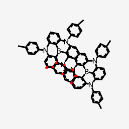 Cc1ccc(N2c3cccc4c3B3c5c2cccc5N(c2ccc(C)cc2)c2c3c(cc3cc5c6c(c23)N(c2ccc(C)cc2)c2cccc3c2B6c2c(cccc2N5c2ccc(C)cc2)N3c2ccc(C)cc2)N4c2ccc(C)cc2)cc1